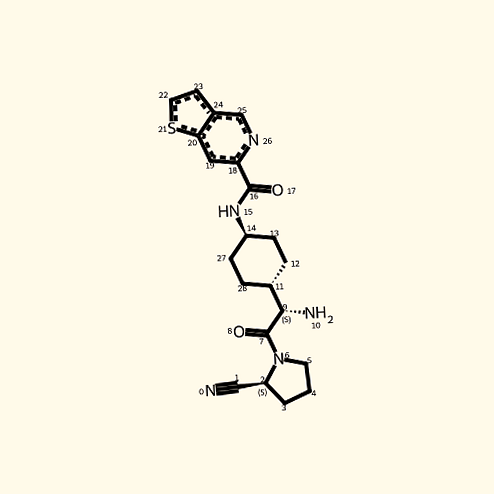 N#C[C@@H]1CCCN1C(=O)[C@@H](N)[C@H]1CC[C@H](NC(=O)c2cc3sccc3cn2)CC1